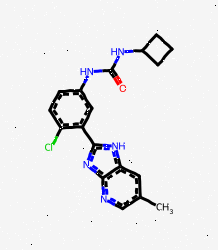 Cc1cnc2nc(-c3cc(NC(=O)NC4CCC4)ccc3Cl)[nH]c2c1